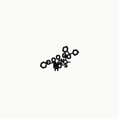 CC1SCC2(O)C(NC(=O)COc3ccccc3)C(=O)N2C1C(=O)OC(c1ccccc1)c1ccccc1